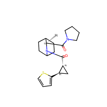 O=C([C@@H]1C2CCC(CC2)N1C(=O)[C@@H]1C[C@H]1c1cccs1)N1CCCC1